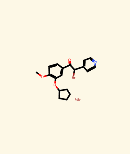 Br.COc1ccc(C(=O)C(Br)c2ccncc2)cc1OC1CCCC1